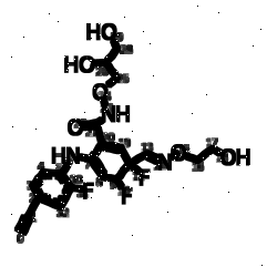 C#Cc1ccc(NC2=CC(F)C(F)(C=NOCCO)C=C2C(=O)NOCC(O)CO)c(F)c1